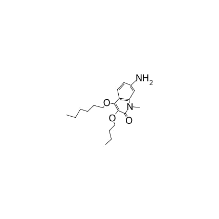 CCCCCCOc1c(OCCCC)c(=O)n(C)c2cc(N)ccc12